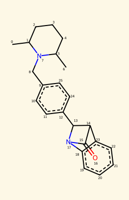 CC1CCCC(C)N1Cc1ccc(C2C3C(=O)N2c2ccccc23)cc1